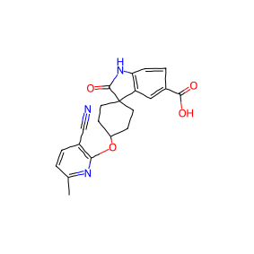 Cc1ccc(C#N)c(OC2CCC3(CC2)C(=O)Nc2ccc(C(=O)O)cc23)n1